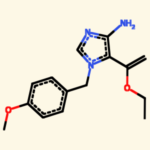 C=C(OCC)c1c(N)ncn1Cc1ccc(OC)cc1